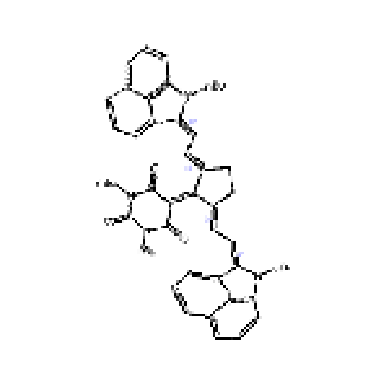 CCCCN1C(=O)C(=C2/C(=C/C=c3\c4cccc5cccc(c54)n3CCCC)CC/C2=C\C=c2/c3cccc4cccc(c43)n2CCCC)C(=O)N(CCCC)C1=O